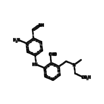 CN(CC(=O)O)Cc1cccc(Nc2ccc(C=N)c(N)c2)c1C=O